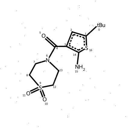 CC(C)(C)c1cc(C(=O)N2CCS(=O)(=O)CC2)c(N)s1